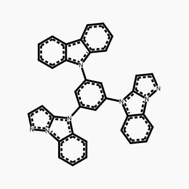 c1ccc2c(c1)c1ccccc1n2-c1cc(-n2c3ccccc3n3nccc23)cc(-n2c3ccccc3n3nccc23)c1